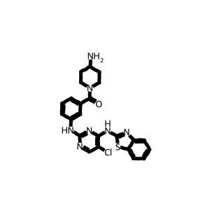 NC1CCN(C(=O)c2cccc(Nc3ncc(Cl)c(Nc4nc5ccccc5s4)n3)c2)CC1